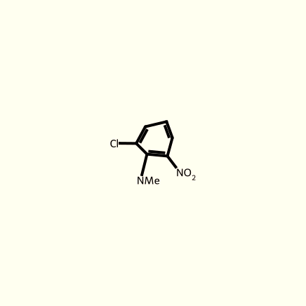 CNc1c(Cl)cccc1[N+](=O)[O-]